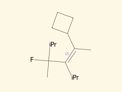 C/C(=C(\C(C)C)C(C)(F)C(C)C)C1CCC1